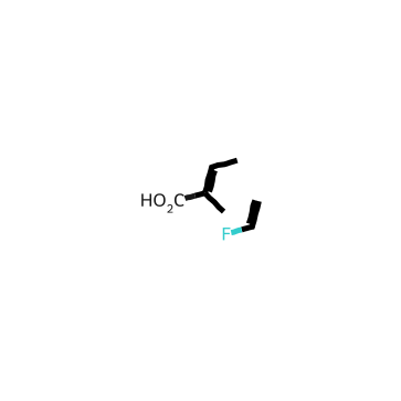 C=CF.CC=C(C)C(=O)O